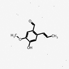 C/C=C/c1cc(O)c(OC)cc1C=O